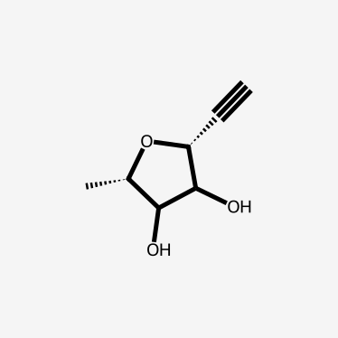 C#C[C@H]1O[C@@H](C)C(O)C1O